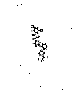 CNc1nccc(-c2cccnc2Oc2ccc(NC(=O)Nc3cc(Cl)cc(Cl)c3)cc2)n1